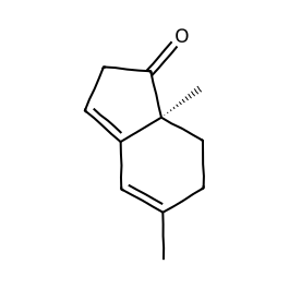 CC1=CC2=CCC(=O)[C@@]2(C)CC1